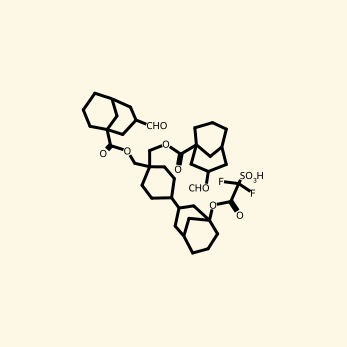 O=CC1CC2CCCC(C(=O)OCC3(COC(=O)C45CCCC(CC(C=O)C4)C5)CCC(C4CC5CCCC(OC(=O)C(F)(F)S(=O)(=O)O)(C5)C4)CC3)(C1)C2